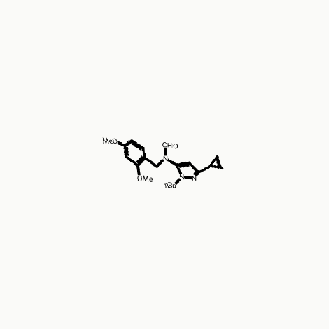 CCCCn1nc(C2CC2)cc1N(C=O)Cc1ccc(OC)cc1OC